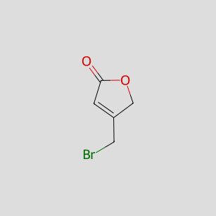 O=C1C=C(CBr)CO1